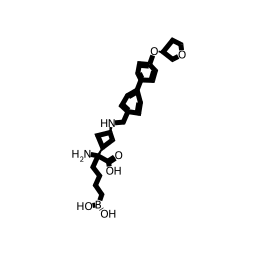 NC(CCCCB(O)O)(C(=O)O)[C@H]1C[C@@H](NCc2ccc(-c3ccc(O[C@@H]4CCOC4)cc3)cc2)C1